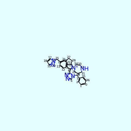 c1ccc(Cn2cnnc2C(c2ccc(Cn3cccn3)cc2)[N+]2(C3CCCC3)CCCNCC2)cc1